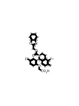 O=C(O)COc1ccc(Cl)cc1[C@@H]1c2ccc(F)c(F)c2CCN1C(=O)OCc1nc2ccccc2o1